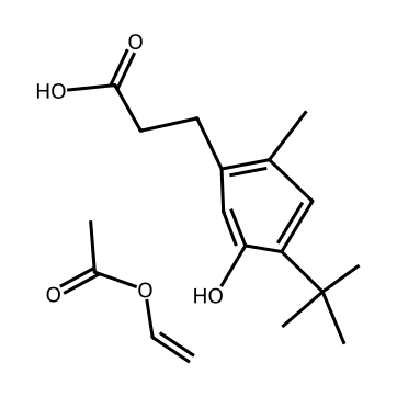 C=COC(C)=O.Cc1cc(C(C)(C)C)c(O)cc1CCC(=O)O